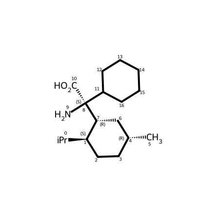 CC(C)[C@@H]1CC[C@@H](C)C[C@H]1[C@](N)(C(=O)O)C1CCCCC1